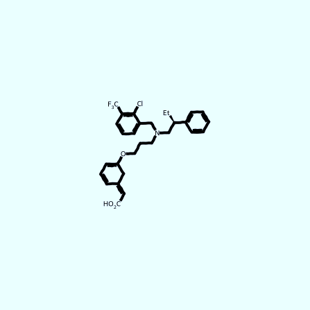 CC[C@H](CN(CCCOC1=CC=CC(=CC(=O)O)C1)Cc1cccc(C(F)(F)F)c1Cl)c1ccccc1